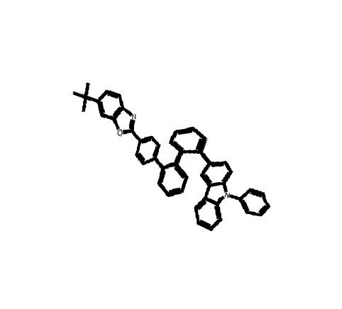 CC(C)(C)c1ccc2nc(-c3ccc(-c4ccccc4-c4ccccc4-c4ccc5c(c4)c4ccccc4n5-c4ccccc4)cc3)oc2c1